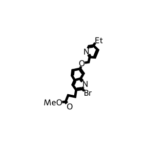 CCc1ccc(COc2ccc3cc(CCC(=O)OC)c(Br)nc3c2)nc1